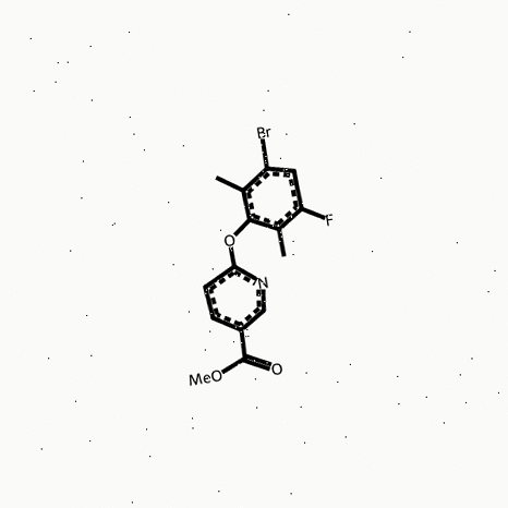 COC(=O)c1ccc(Oc2c(C)c(F)cc(Br)c2C)nc1